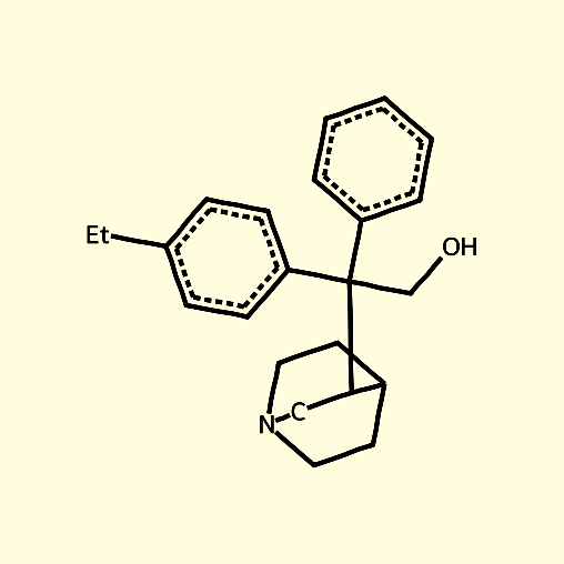 CCc1ccc(C(CO)(c2ccccc2)C2CN3CCC2CC3)cc1